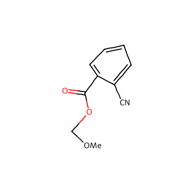 COCOC(=O)c1ccccc1C#N